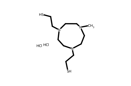 CN1CCN(CCS)CCN(CCS)CC1.Cl.Cl